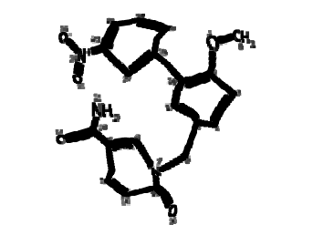 COc1ccc(Cn2cc(C(N)=O)ccc2=O)cc1-c1cccc([N+](=O)[O-])c1